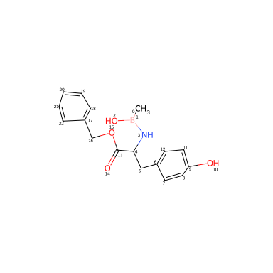 CB(O)NC(Cc1ccc(O)cc1)C(=O)OCc1ccccc1